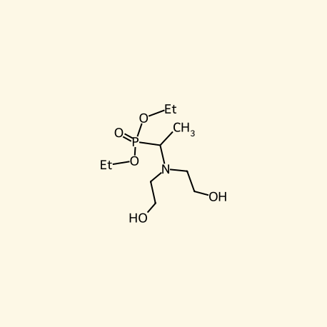 CCOP(=O)(OCC)C(C)N(CCO)CCO